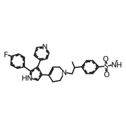 CNS(=O)(=O)c1ccc(C(C)CN2CC=C(c3c[nH]c(-c4ccc(F)cc4)c3-c3ccncc3)CC2)cc1